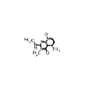 CNc1nc2c(c(C)cc[n+]2[O-])c(=O)n1C